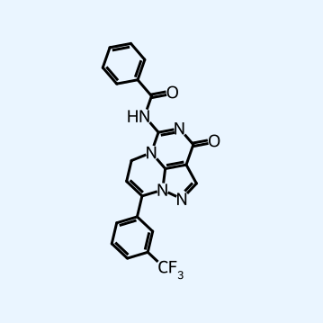 O=C(Nc1nc(=O)c2cnn3c2n1CC=C3c1cccc(C(F)(F)F)c1)c1ccccc1